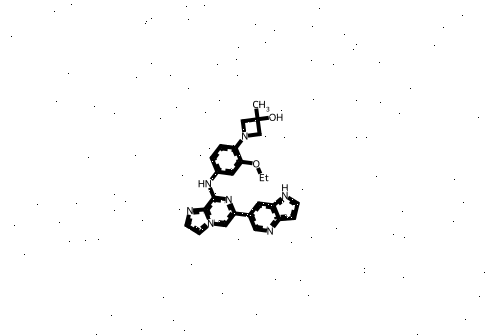 CCOc1cc(Nc2nc(-c3cnc4cc[nH]c4c3)cn3ccnc23)ccc1N1CC(C)(O)C1